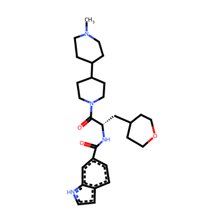 CN1CCC(C2CCN(C(=O)[C@H](CC3CCOCC3)NC(=O)c3ccc4cc[nH]c4c3)CC2)CC1